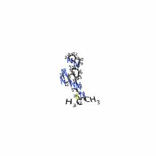 Cc1nc(-c2cn(-c3cncnc3)c(-c3ccc(-n4ccc5cccnc54)cc3)n2)sc1C